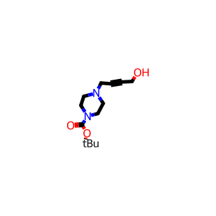 CC(C)(C)OC(=O)N1CCN(CC#CCO)CC1